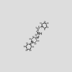 FC1(CN[C@@H]2C[C@H]2c2ccccc2)CCN(c2ccccc2)CC1